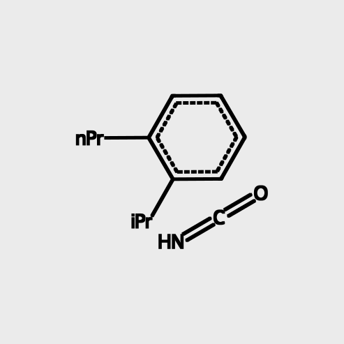 CCCc1ccccc1C(C)C.N=C=O